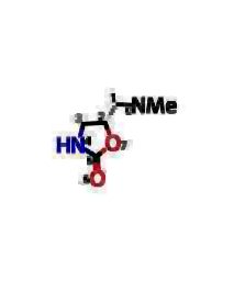 CNC[C@H]1CNC(=O)O1